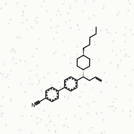 C=CCC(c1ccc(-c2ccc(C#N)cc2)cc1)[C@H]1CC[C@H](CCCCC)CC1